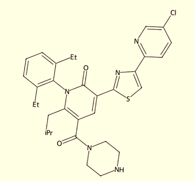 CCc1cccc(CC)c1-n1c(CC(C)C)c(C(=O)N2CCNCC2)cc(-c2nc(-c3ccc(Cl)cn3)cs2)c1=O